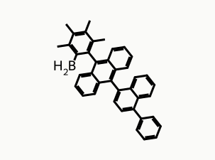 Bc1c(C)c(C)c(C)c(C)c1-c1c2ccccc2c(-c2ccc(-c3ccccc3)c3ccccc23)c2ccccc12